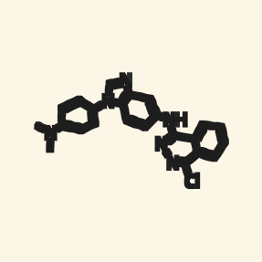 CN(C)c1ccc(-n2cnc3cc(Nc4nnc(Cl)c5ccccc45)ccc32)cc1